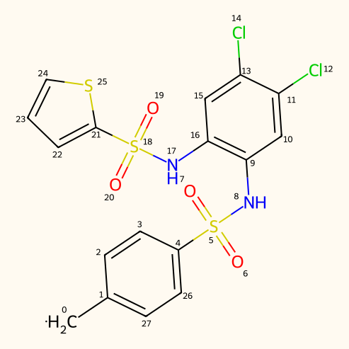 [CH2]c1ccc(S(=O)(=O)Nc2cc(Cl)c(Cl)cc2NS(=O)(=O)c2cccs2)cc1